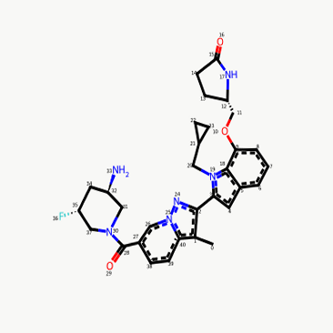 Cc1c(-c2cc3cccc(OC[C@@H]4CCC(=O)N4)c3n2CC2CC2)nn2cc(C(=O)N3C[C@H](N)C[C@@H](F)C3)ccc12